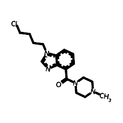 CN1CCN(C(=O)c2cccc3c2ncn3CCCCCl)CC1